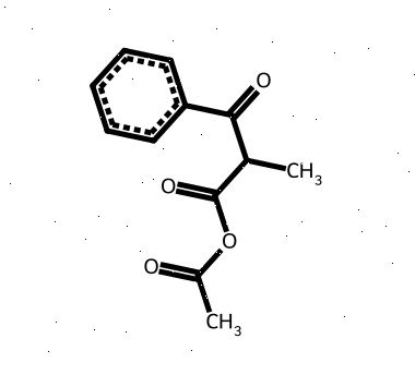 CC(=O)OC(=O)C(C)C(=O)c1ccccc1